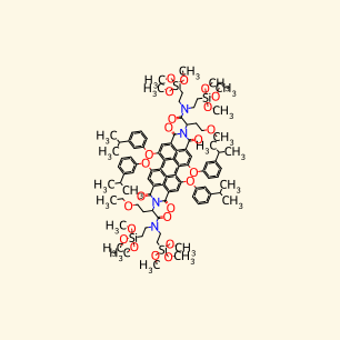 CCOCCC(C(=O)N(CC[Si](OC)(OC)OC)CC[Si](OC)(OC)OC)N1C(=O)c2cc(Oc3cccc(C(C)C)c3)c3c4c(Oc5cccc(C(C)C)c5)cc5c6c(cc(Oc7cccc(C(C)C)c7)c(c7c(Oc8cccc(C(C)C)c8)cc(c2c37)C1=O)c64)C(=O)N(C(CCOC)C(=O)N(CC[Si](OC)(OC)OC)CC[Si](OC)(OC)OC)C5=O